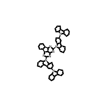 c1ccc2c(c1)-c1nc(-n3c4ccccc4c4cc(-n5c6ccccc6c6ccccc65)ccc43)nc3nc(-n4c5ccccc5c5cc(-n6c7ccccc7c7ccccc76)ccc54)nc-2c13